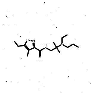 CCCN(CC)C(C)(C)CNC(=O)c1noc(CC)c1C